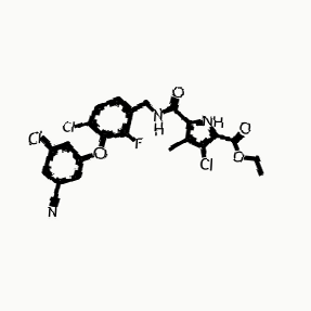 CCOC(=O)c1[nH]c(C(=O)NCc2ccc(Cl)c(Oc3cc(Cl)cc(C#N)c3)c2F)c(C)c1Cl